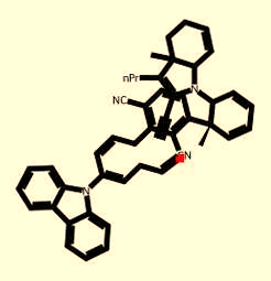 C#CC1=C(CCC)C2(C)CCC=CC2N1C1C=CC=C[C@]1(C)c1ccc(C#N)c(C/C=C\C(=C/CC=C)n2c3ccccc3c3ccccc32)c1C#N